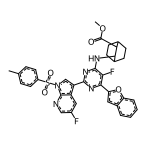 COC(=O)C1C2CCC(CC2)C1Nc1nc(-c2cn(S(=O)(=O)c3ccc(C)cc3)c3ncc(F)cc23)nc(-c2cc3ccccc3o2)c1F